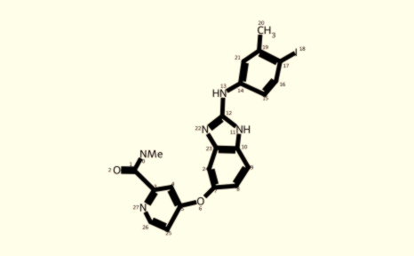 CNC(=O)c1cc(Oc2ccc3[nH]c(Nc4ccc(I)c(C)c4)nc3c2)ccn1